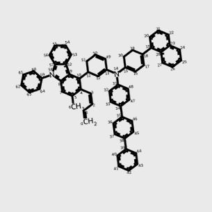 C=C/C=C\c1c(C)cc2c(c1C1C=C(N(C3=CC=C(c4cccc5ccccc45)CC3)c3ccc(-c4ccc(-c5ccccc5)cc4)cc3)C=CC1)c1ccccc1n2-c1ccccc1